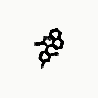 CC(C)c1cc(F)ccc1N(C(=N)N)c1cccc2ccccc12